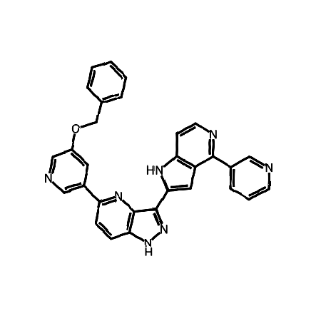 c1ccc(COc2cncc(-c3ccc4[nH]nc(-c5cc6c(-c7cccnc7)nccc6[nH]5)c4n3)c2)cc1